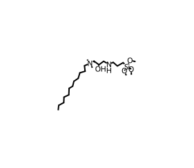 CCCCCCCCCCCC[N+](C)(C)CC(O)CNCCC[Si](OC)(OC)OC